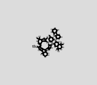 Cc1cc2c3c(c1)N(c1cccc4c1sc1ccccc14)c1cc4c(cc1B3c1ccc3cc1N2c1cc2c(cc1C)C(C)(C)CCC2(C)c1cc2c(cc1C(C)(C)C)C1(C)CCCCC1(C)C32)C(C)(C)CCC4(C)C